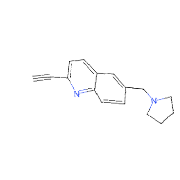 C#Cc1ccc2cc(CN3CCCC3)ccc2n1